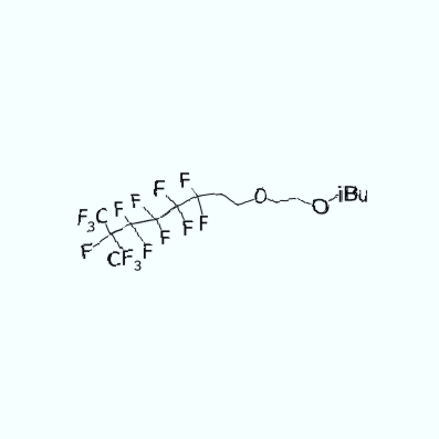 CCC(C)OCCOCCC(F)(F)C(F)(F)C(F)(F)C(F)(F)C(F)(C(F)(F)F)C(F)(F)F